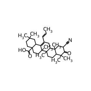 CC=CC1=C2C3CC(C)(C)CCC3(C(=O)O)CCC2(C)C2(C)CCC3C(C)(C)C(=O)C(C#N)CC3(C)C2C1